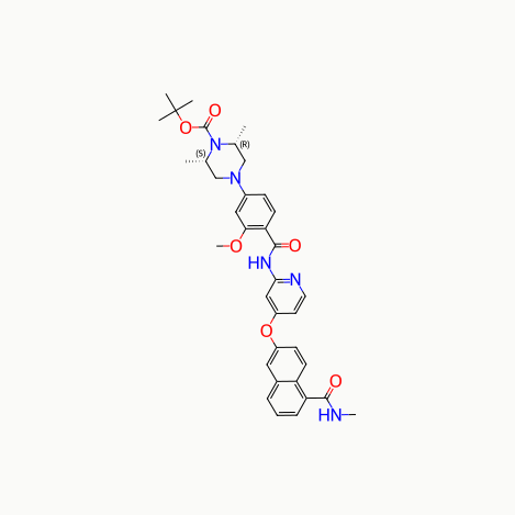 CNC(=O)c1cccc2cc(Oc3ccnc(NC(=O)c4ccc(N5C[C@@H](C)N(C(=O)OC(C)(C)C)[C@@H](C)C5)cc4OC)c3)ccc12